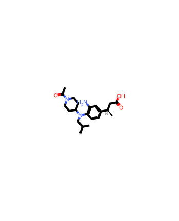 CC(=O)N1CCC(N(CC(C)C)c2ccc([C@H](C)CC(=O)O)cc2N)CC1